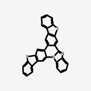 c1ccc2c(c1)nc1c3cc4sc5ccccc5c4cc3c3cc4sc5ccccc5c4cc3n21